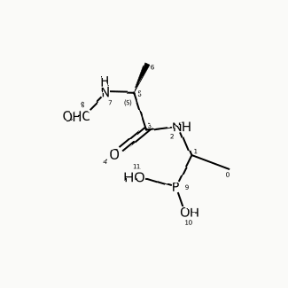 CC(NC(=O)[C@H](C)NC=O)P(O)O